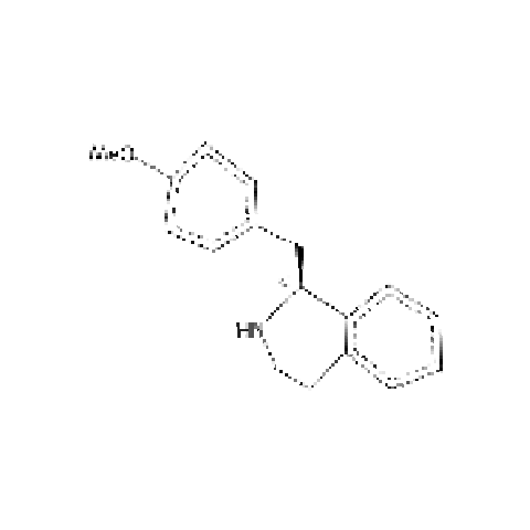 COc1ccc(C[C@@H]2NCCc3ccccc32)cc1